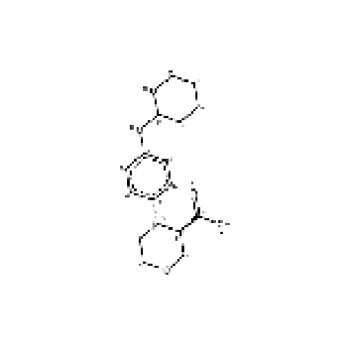 O=C(O)[C@H]1COCC[C@@H]1c1ccc(OC2CCCCO2)cc1